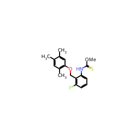 COC(=S)Nc1cccc(F)c1COc1cc(C)c(C)cc1C